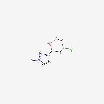 Cn1ccc(C2CC(Br)CCO2)n1